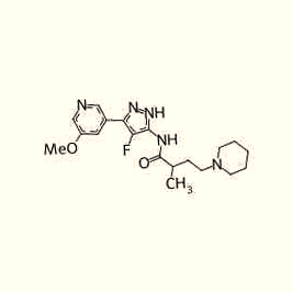 COc1cncc(-c2n[nH]c(NC(=O)C(C)CCN3CCCCC3)c2F)c1